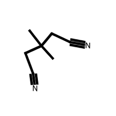 CC(C)(CC#N)CC#N